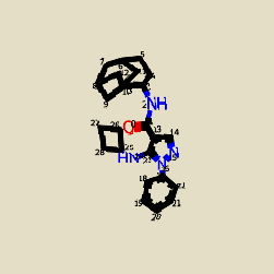 O=C(NC1CCC2CC3CC1(C2)C3)c1cnn(-c2ccccc2)c1NC1CCC1